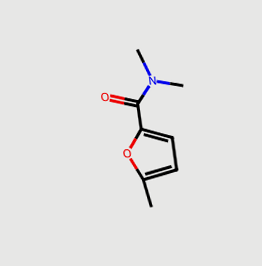 Cc1ccc(C(=O)N(C)C)o1